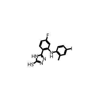 Cc1cc(I)ccc1Nc1cc(F)ccc1-c1nnc(S)[nH]1